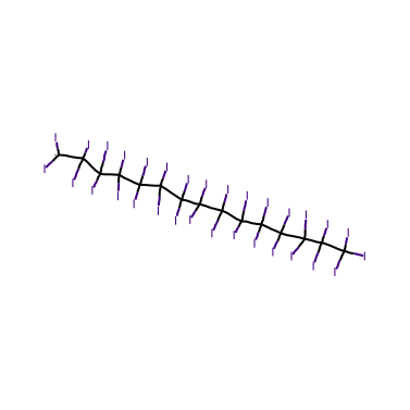 I[C](I)C(I)(I)C(I)(I)C(I)(I)C(I)(I)C(I)(I)C(I)(I)C(I)(I)C(I)(I)C(I)(I)C(I)(I)C(I)(I)C(I)(I)C(I)(I)C(I)(I)I